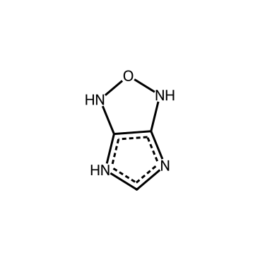 c1nc2c([nH]1)NON2